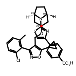 Cc1cccc(Cl)c1-c1noc(C2CC2)c1CO[C@H]1C[C@H]2CC[C@@H](C1)N2c1nc(-c2ccc(C(=O)O)cc2)cs1